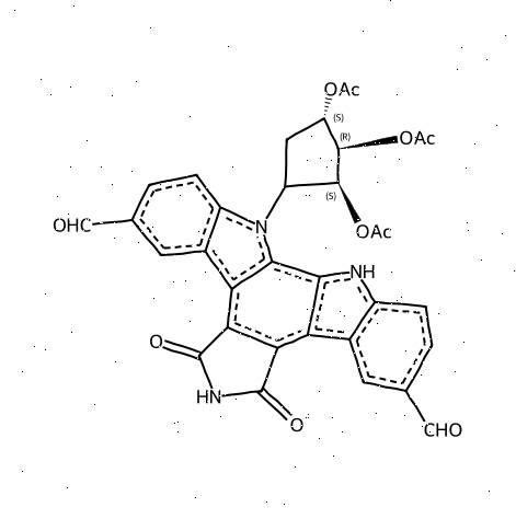 CC(=O)O[C@@H]1[C@@H](OC(C)=O)CC(n2c3ccc(C=O)cc3c3c4c(c5c6cc(C=O)ccc6[nH]c5c32)C(=O)NC4=O)[C@@H]1OC(C)=O